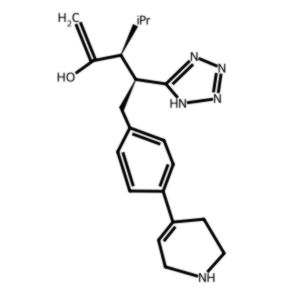 C=C(O)[C@@H](C(C)C)[C@H](Cc1ccc(C2=CCNCC2)cc1)c1nnn[nH]1